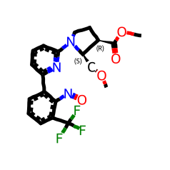 COC[C@@H]1[C@H](C(=O)OC)CCN1c1cccc(-c2cccc(C(F)(F)F)c2N=O)n1